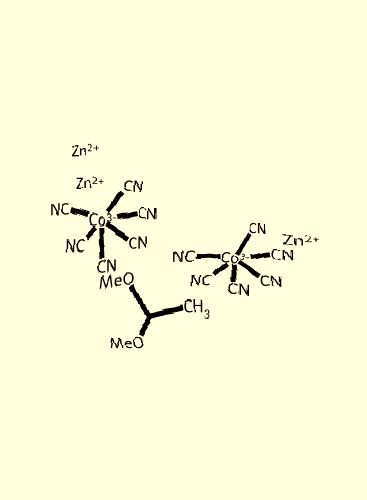 COC(C)OC.N#[C][Co-3]([C]#N)([C]#N)([C]#N)([C]#N)[C]#N.N#[C][Co-3]([C]#N)([C]#N)([C]#N)([C]#N)[C]#N.[Zn+2].[Zn+2].[Zn+2]